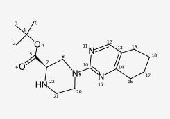 CC(C)(C)OC(=O)[C@H]1CN(c2ncc3c(n2)CCCC3)CCN1